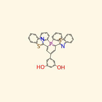 Oc1cc(O)cc(C2=CC(c3nc4ccccc4s3)=P(c3ccccc3)(c3ccccc3)C(c3nc4ccccc4s3)=C2)c1